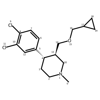 CN1CC[C@H](c2ccc(Cl)c(Cl)c2)[C@@H](COCC2CC2)C1